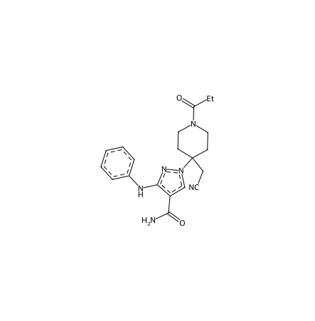 CCC(=O)N1CCC(CC#N)(n2cc(C(N)=O)c(Nc3ccccc3)n2)CC1